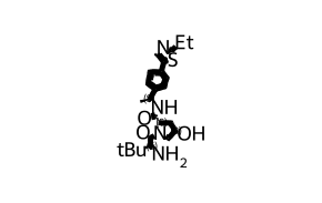 CCc1ncc(-c2ccc([C@H](C)NC(=O)[C@@H]3C[C@@H](O)CN3C(=O)[C@@H](N)C(C)(C)C)cc2)s1